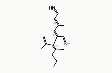 C=C(C)C(/C(C=N)=C/C(C)=C/C=N)=C(/C)CCC